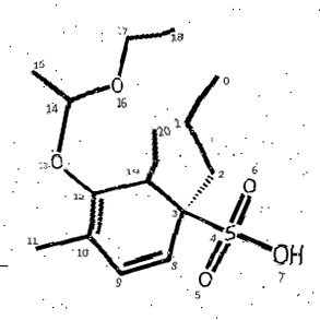 CCC[C@]1(S(=O)(=O)O)C=CC(C)=C(OC(C)OCC)C1C